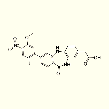 COc1cc(-c2ccc3c(c2)Nc2ccc(CC(=O)O)cc2NC3=O)c(C)cc1[N+](=O)[O-]